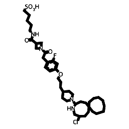 O=C(NCCCCCS(=O)(=O)O)C1CN(C(=O)Cc2ccc(OCCCC3CCN(C4CCC5(CCCCCCCC5)CCC(Cl)CN4)CC3)cc2F)C1